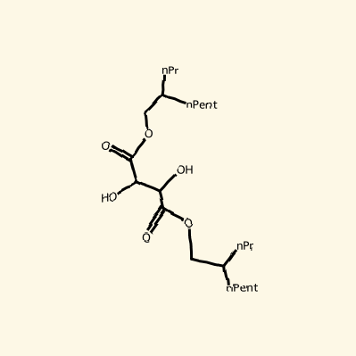 CCCCCC(CCC)COC(=O)C(O)C(O)C(=O)OCC(CCC)CCCCC